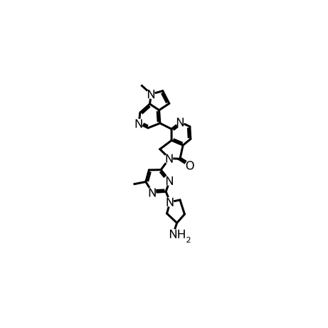 Cc1cc(N2Cc3c(ccnc3-c3cncc4c3ccn4C)C2=O)nc(N2CCC(N)C2)n1